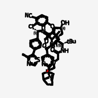 Cc1ncsc1-c1ccc([C@H](C)NC(=O)C2C[C@@H](O)CN2C(=O)[C@@H](NC(=O)COCCN2C3CCC2CN(c2ccc(C(=O)NC4C(C)(C)C(Oc5ccc(C#N)c(Cl)c5)C4(C)C)cn2)C3)C(C)(C)C)cc1